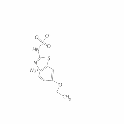 CCOc1ccc2nc(NS(=O)(=O)[O-])sc2c1.[Na+]